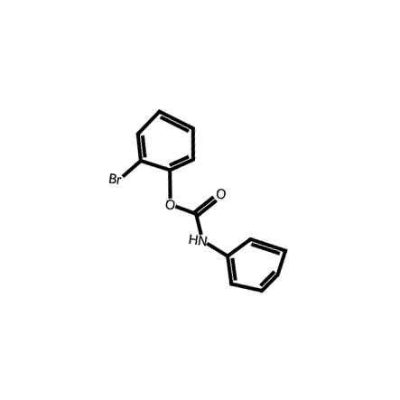 O=C(Nc1ccccc1)Oc1ccccc1Br